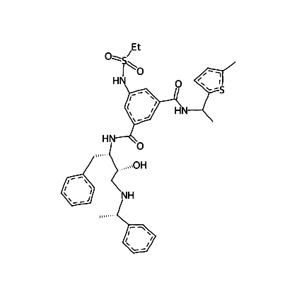 CCS(=O)(=O)Nc1cc(C(=O)NC(C)c2ccc(C)s2)cc(C(=O)N[C@@H](Cc2ccccc2)[C@H](O)CN[C@@H](C)c2ccccc2)c1